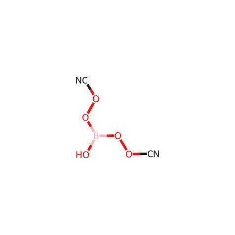 N#COOB(O)OOC#N